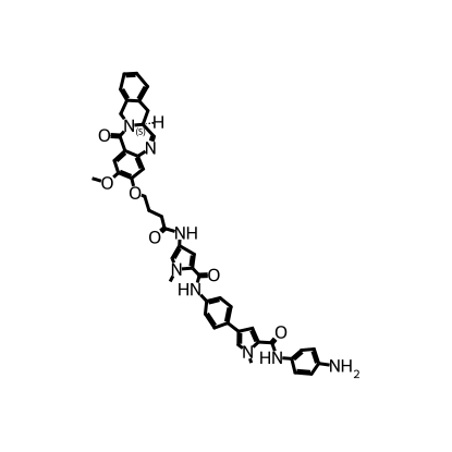 COc1cc2c(cc1OCCCC(=O)Nc1cc(C(=O)Nc3ccc(-c4cc(C(=O)Nc5ccc(N)cc5)n(C)c4)cc3)n(C)c1)N=C[C@@H]1Cc3ccccc3CN1C2=O